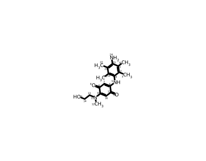 Cc1c(C)c(NC2=CC(=O)C(N(C)CCO)=CC2=O)c(C)c(C)c1N